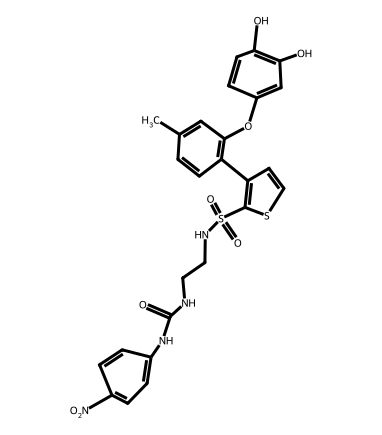 Cc1ccc(-c2ccsc2S(=O)(=O)NCCNC(=O)Nc2ccc([N+](=O)[O-])cc2)c(Oc2ccc(O)c(O)c2)c1